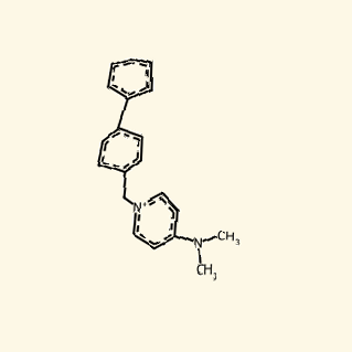 CN(C)c1cc[n+](Cc2ccc(-c3ccccc3)cc2)cc1